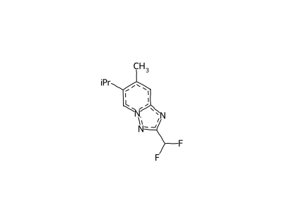 Cc1cc2nc(C(F)F)nn2cc1C(C)C